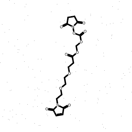 O=C(CCOCCOCCN1C(=O)C=CC1=O)OCOC(=O)ON1C(=O)CCC1=O